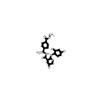 COC(=O)c1ccc([C@H](C)NC(=O)c2cc(Cl)cnc2Oc2ccc(Cl)cc2Cl)cc1